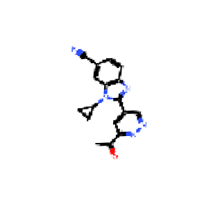 CC(=O)c1cc(-c2nc3ccc(C#N)cc3n2C2CC2)cnn1